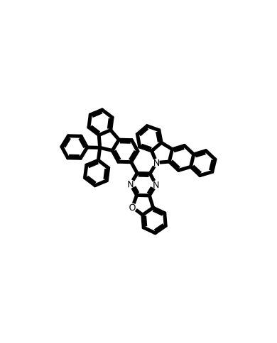 c1ccc(C2(c3ccccc3)c3ccccc3-c3ccc(-c4nc5oc6ccccc6c5nc4-n4c5ccccc5c5cc6ccccc6cc54)cc32)cc1